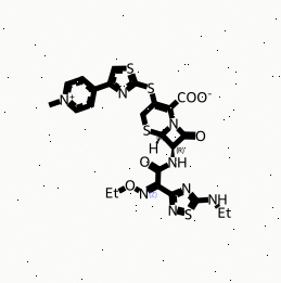 CCNc1nc(/C(=N/OCC)C(=O)N[C@@H]2C(=O)N3C(C(=O)[O-])=C(Sc4nc(-c5cc[n+](C)cc5)cs4)CS[C@H]23)ns1